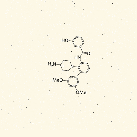 COc1cc(OC)cc(-c2cccc(NC(=O)c3cccc(O)c3)c2N2CCC(N)CC2)c1